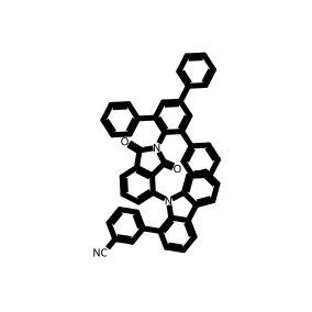 N#Cc1cccc(-c2cccc3c4ccccc4n(-c4cccc5c4C(=O)N(c4c(-c6ccccc6)cc(-c6ccccc6)cc4-c4ccccc4)C5=O)c23)c1